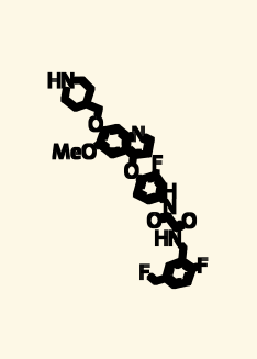 COc1cc2c(Oc3ccc(NC(=O)C(=O)NCc4cc(CF)ccc4F)cc3F)ccnc2cc1OCC1CCNCC1